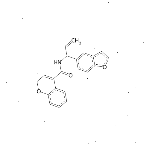 C=CC(NC(=O)C1=CCOc2ccccc21)c1ccc2occc2c1